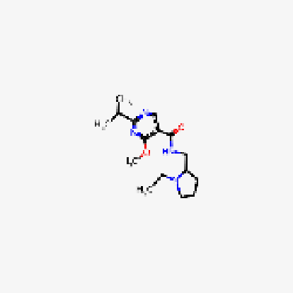 CCN1CCCC1CNC(=O)c1cnc(C(C)C)nc1OC